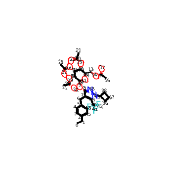 CCc1ccc(Cc2c(O[C@@H]3O[C@H](COC(C)=O)[C@@H](OC(C)=O)[C@H](OC(C)=O)[C@H]3OC(C)=O)nn(C3CCC3)c2C(F)(F)F)cc1